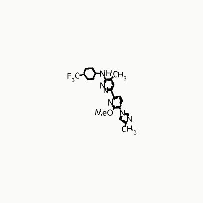 COc1nc(-c2cc(C)c(NC3CCC(C(F)(F)F)CC3)nn2)ccc1-n1cnc(C)c1